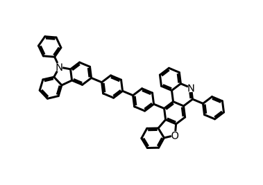 c1ccc(-c2nc3ccccc3c3c(-c4ccc(-c5ccc(-c6ccc7c(c6)c6ccccc6n7-c6ccccc6)cc5)cc4)c4c(cc23)oc2ccccc24)cc1